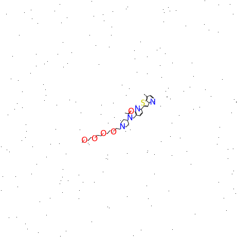 COCCOCCOCCOCCN1CCC(N(Cc2ccc(-c3cc4nccc(C)c4s3)nc2)C(C)=O)CC1